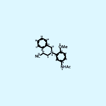 COc1ccc(NC(C)=O)cc1N(CCC#N)Cc1ccccc1